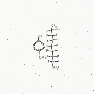 COc1ccc(S)cc1.O=S(=O)(O)C(F)(F)C(F)(F)C(F)(F)C(F)(F)C(F)(F)C(F)(F)C(F)(F)C(F)(F)F